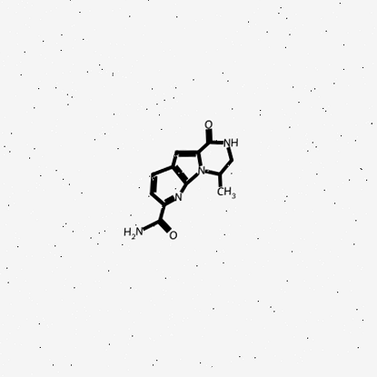 CC1CNC(=O)c2cc3ccc(C(N)=O)nc3n21